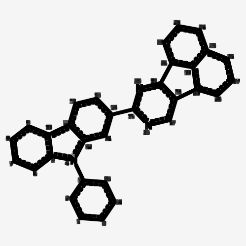 c1ccc(-n2c3ccccc3c3ccc(-c4ncc5c(n4)-c4cccc6cccc-5c46)cc32)cc1